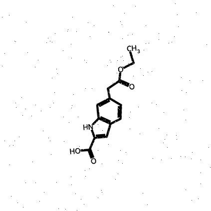 CCOC(=O)Cc1ccc2cc(C(=O)O)[nH]c2c1